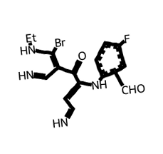 CCN/C(Br)=C(\C=N)C(=O)/C(=C/C=N)Nc1ccc(F)cc1C=O